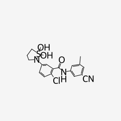 Cc1cc(C#N)cc(NC(=O)c2cc(N3CCCS3(O)O)ccc2Cl)c1